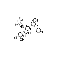 C[C@@]1(c2ccc(Cl)c(O)c2)C(=O)Nc2nc(-c3cn4ccnc4c(Cc4cccc(F)c4)n3)nc(NCC(O)C(F)(F)F)c21